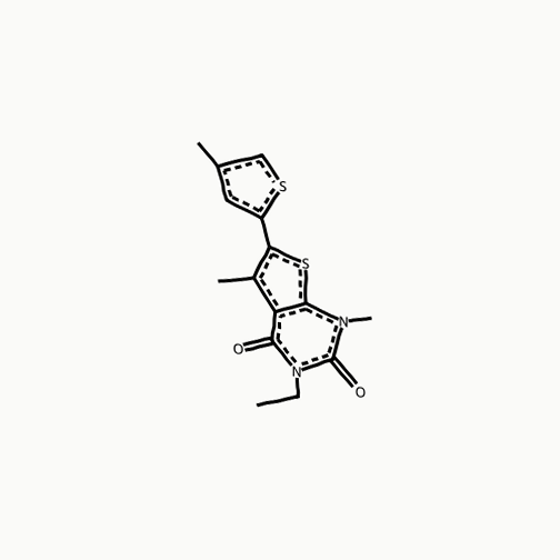 CCn1c(=O)c2c(C)c(-c3cc(C)cs3)sc2n(C)c1=O